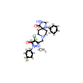 Cn1c(CN2CCC3(CC2)C(=O)NCN3c2ccccc2)c(Cl)c(=O)n1-c1ccc(F)cc1